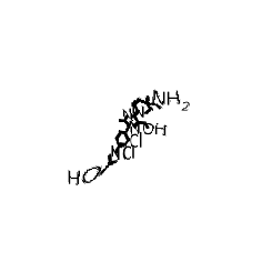 Cc1nc(N2CCC(C)(C(C)N)CC2)c(CO)nc1-c1ccc(N2CC(CO)C2)c(Cl)c1Cl